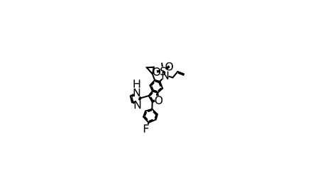 C=CCN(c1cc2oc(-c3ccc(F)cc3)c(-c3ncc[nH]3)c2cc1C1CC1)S(C)(=O)=O